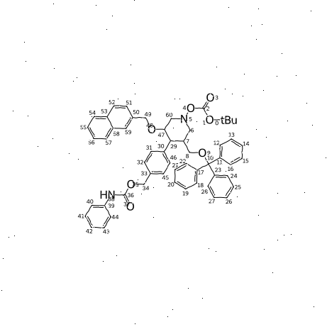 CC(C)(C)OC(=O)ON1CC(COC(c2ccccc2)(c2ccccc2)c2ccccc2)C(c2ccc(COC(=O)Nc3ccccc3)cc2)C(OCc2ccc3ccccc3c2)C1